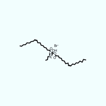 CCCCCCCC/C=C\CCCCCCCC(=O)OC(O)(C[N+](C)(C)CCC)OC(=O)CCCCCCC/C=C\CCCCCCCC.[Br-]